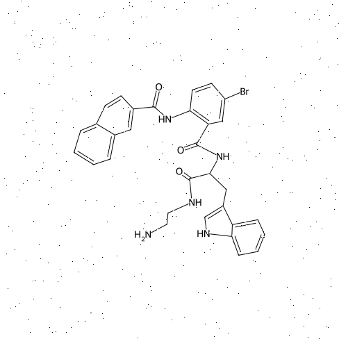 NCCNC(=O)C(Cc1c[nH]c2ccccc12)NC(=O)c1cc(Br)ccc1NC(=O)c1ccc2ccccc2c1